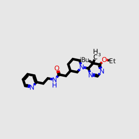 CCOC1=NC=NC(N2CCCC(CC(=O)NCCc3ccccn3)C2)C1(C)C(C)CC